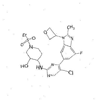 CCS(=O)(=O)N1CCC(Nc2ncc(Cl)c(-c3cc(F)c4nc(C)n(C5COC5)c4c3)n2)C(O)C1